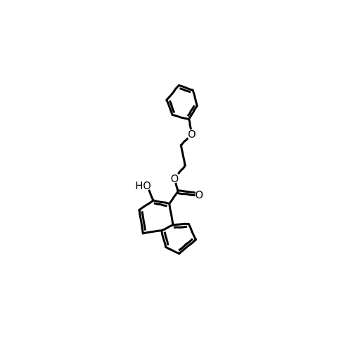 O=C(OCCOc1ccccc1)c1c(O)ccc2ccccc12